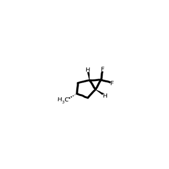 C[C@H]1C[C@@H]2[C@H](C1)C2(F)F